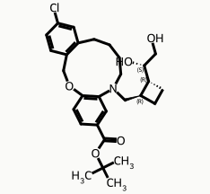 CC(C)(C)OC(=O)c1ccc2c(c1)N(C[C@@H]1CC[C@H]1[C@H](O)CO)CCCCc1cc(Cl)ccc1CO2